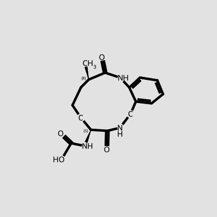 C[C@@H]1CCC[C@H](NC(=O)O)C(=O)NCc2ccccc2NC1=O